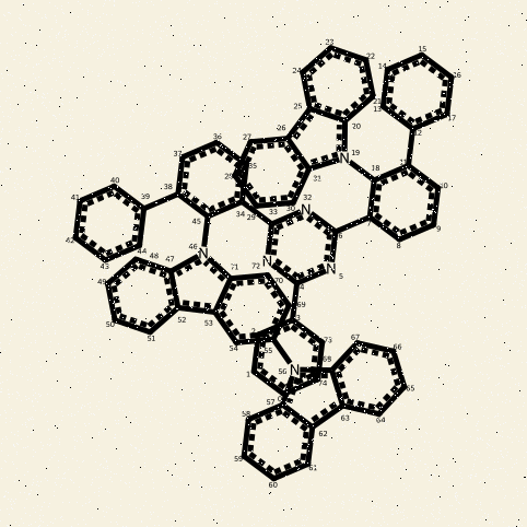 c1ccc(-c2nc(-c3cccc(-c4ccccc4)c3-n3c4ccccc4c4ccccc43)nc(-c3cccc(-c4ccccc4)c3-n3c4ccccc4c4cc(-n5c6ccccc6c6ccccc65)ccc43)n2)cc1